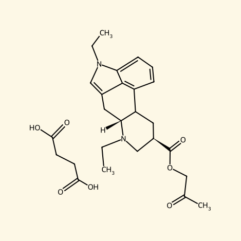 CCN1C[C@H](C(=O)OCC(C)=O)CC2c3cccc4c3c(cn4CC)C[C@H]21.O=C(O)CCC(=O)O